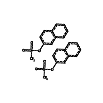 O=S(=O)(Oc1[c]c2ccccc2cc1)C(F)(F)F.O=S(=O)(Oc1[c]c2ccccc2cc1)C(F)(F)F